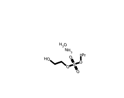 CCCOS(=O)(=O)OCCO.N.O